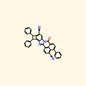 N#Cc1cc2c(nc3c4ccc(C#N)c5c(-c6ccccc6)ccc(c(=O)n23)c54)c2c1C(c1ccccc1)C2c1ccccc1